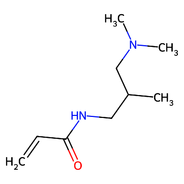 C=CC(=O)NCC(C)CN(C)C